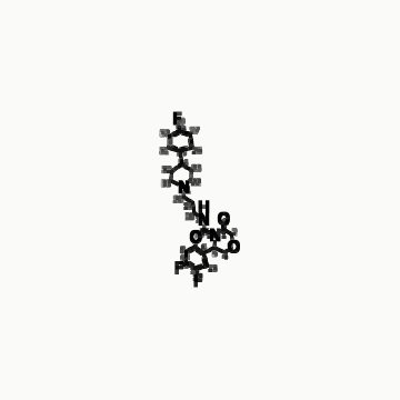 O=C1COCC(c2ccc(F)c(F)c2)N1C(=O)NCCCN1CCC(c2ccc(F)cc2)CC1